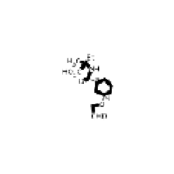 CCC(C)(NC(=O)[C@@H]1CCC[C@H](OCC=O)C1)C(=O)O